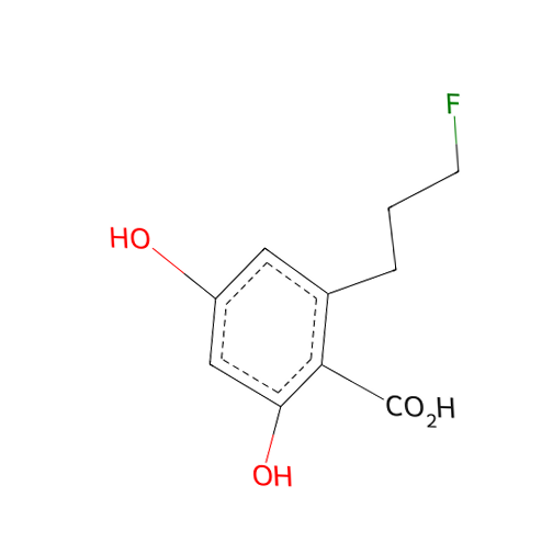 O=C(O)c1c(O)cc(O)cc1CCCF